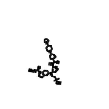 CNC(=O)n1ccc2cc(N(CCC(C)(C)O)c3ccnc(NC(=O)c4ccc(N5CCC(N6CCCC6)CC5)cc4)c3)ccc21